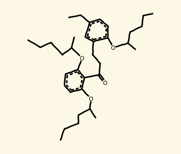 CCCCC(C)Oc1ccc(CC)cc1CCC(=O)c1c(OC(C)CCCC)cccc1OC(C)CCCC